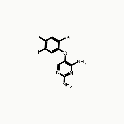 Cc1cc(C(C)C)c(Oc2cnc(N)nc2N)cc1I